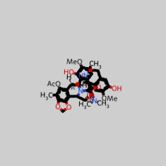 COc1cc2c(cc1O)CCN[C@@]21CS[C@@H]2c3c(OC(C)=O)c(C)c4c(c3C(COC1=O)N1[C@@H]2c2c(cc(C)c(OC)c2O)C[C@@]1(C#N)CN(C)C)OCO4